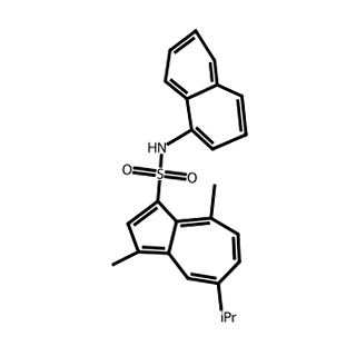 Cc1cc(S(=O)(=O)Nc2cccc3ccccc23)c2c(C)ccc(C(C)C)cc1-2